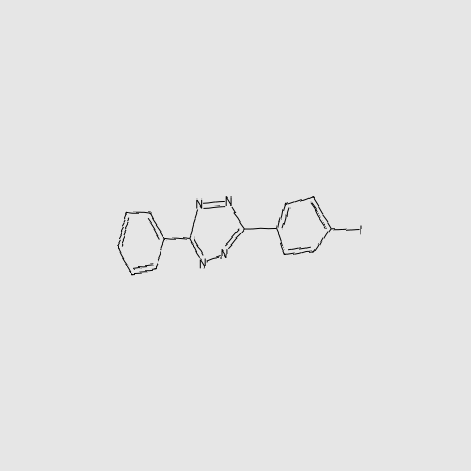 Ic1ccc(-c2nnc(-c3ccccc3)nn2)cc1